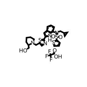 O=C(O)C(F)(F)F.O=S(=O)(c1cccs1)N(CC1CC1)c1cccc2cc(-c3ncc(CN4CCCCC4CO)s3)[nH]c12